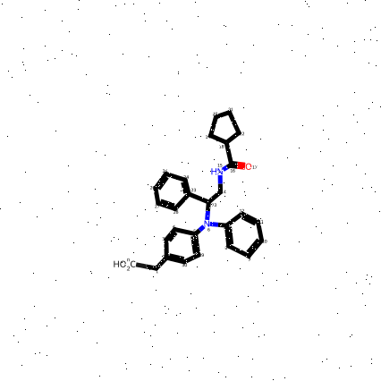 O=C(O)Cc1ccc(N(c2ccccc2)C(CNC(=O)C2CCCC2)c2ccccc2)cc1